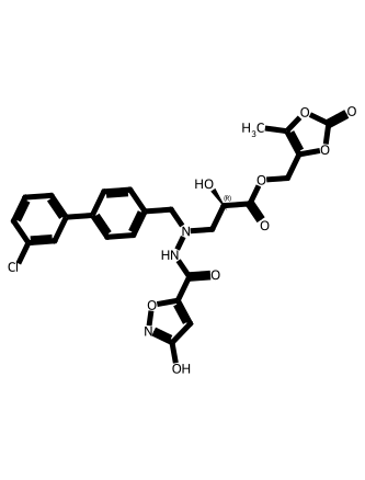 Cc1oc(=O)oc1COC(=O)[C@H](O)CN(Cc1ccc(-c2cccc(Cl)c2)cc1)NC(=O)c1cc(O)no1